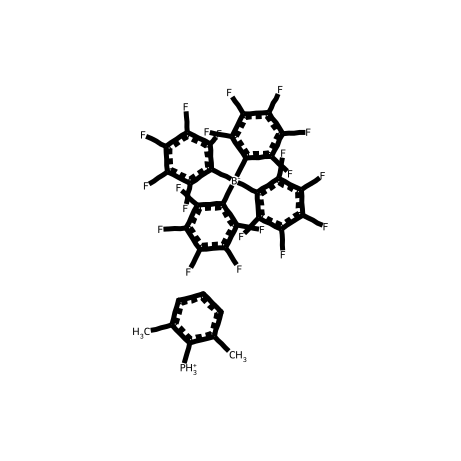 Cc1cccc(C)c1[PH3+].Fc1c(F)c(F)c([B-](c2c(F)c(F)c(F)c(F)c2F)(c2c(F)c(F)c(F)c(F)c2F)c2c(F)c(F)c(F)c(F)c2F)c(F)c1F